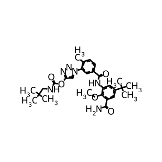 COc1c(NC(=O)c2ccc(C)c(-n3cc(OC(=O)NCC(C)(C)C)nn3)c2)cc(C(C)(C)C)cc1C(N)=O